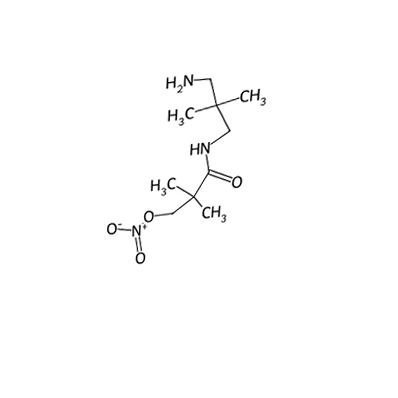 CC(C)(CN)CNC(=O)C(C)(C)CO[N+](=O)[O-]